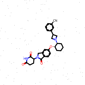 N#Cc1cccc(C2CN([C@H]3CCCC[C@@H]3Oc3ccc4c(c3)CN(C3CCC(=O)NC3=O)C4=O)C2)c1